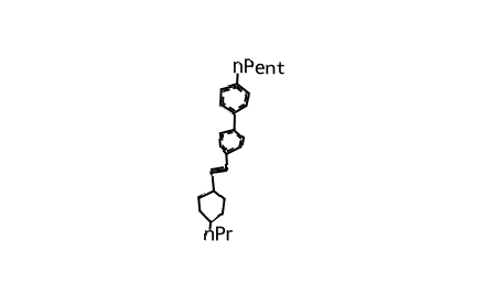 CCCCCc1ccc(-c2ccc(/C=C/C3CCC(CCC)CC3)cc2)cc1